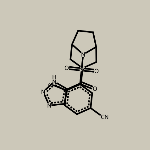 N#Cc1ccc(Cl)c(S(=O)(=O)N2C3CCC2CN(C(=O)c2cnn[nH]2)C3)c1